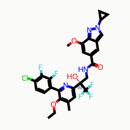 CCOc1c(C)cc([C@@](O)(CNC(=O)c2cc(OC)c3nn(C4CC4)cc3c2)C(F)(F)F)nc1-c1ccc(Cl)c(F)c1F